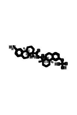 C[C@]1(C(=O)NC(=O)[C@@]2(C)CCC[C@]3(C)c4cc(OP(=O)(O)O)ccc4CC[C@@H]23)CCC[C@]2(C)c3cc(N)ccc3CC[C@@H]12